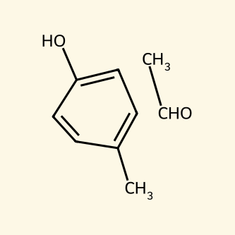 CC=O.Cc1ccc(O)cc1